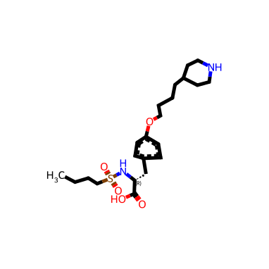 CCCCS(=O)(=O)N[C@H](Cc1ccc(OCCCCC2CCNCC2)cc1)C(=O)O